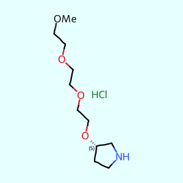 COCCOCCOCCO[C@H]1CCNC1.Cl